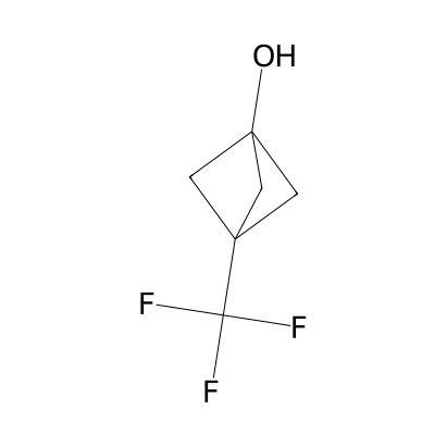 OC12CC(C(F)(F)F)(C1)C2